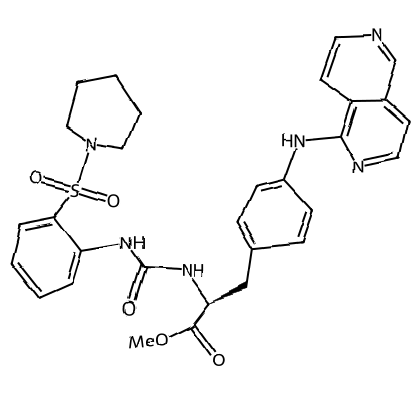 COC(=O)[C@H](Cc1ccc(Nc2nccc3cnccc23)cc1)NC(=O)Nc1ccccc1S(=O)(=O)N1CCCCC1